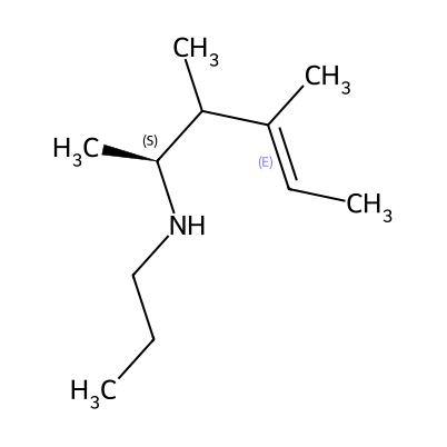 C/C=C(\C)C(C)[C@H](C)NCCC